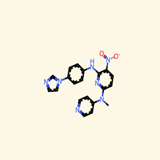 CN(c1ccncc1)c1ccc([N+](=O)[O-])c(Nc2ccc(-n3ccnc3)cc2)n1